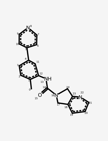 Cc1ccc(-c2ccncc2)cc1NC(=O)N1Cc2cccnc2C1